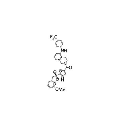 COc1cccc(CS(=O)(=O)c2nc(C(=O)N3CCc4c(cccc4Nc4ccc(C(F)(F)F)cc4)C3)c[nH]2)n1